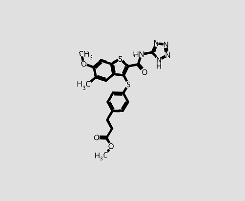 COC(=O)CCc1ccc(Sc2c(C(=O)Nc3nnn[nH]3)sc3cc(OC)c(C)cc23)cc1